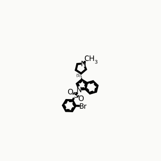 CN1CC[C@@H](c2cn(S(=O)(=O)c3ccccc3Br)c3ccccc23)C1